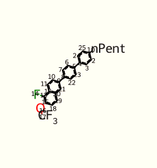 CCCCCc1ccc(-c2ccc(-c3ccc4c(F)c(OC(F)(F)F)ccc4c3)cc2)cc1